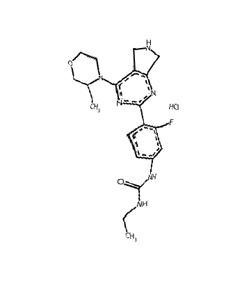 CCNC(=O)Nc1ccc(-c2nc3c(c(N4CCOCC4C)n2)CNC3)c(F)c1.Cl